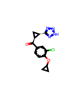 O=C(c1ccc(OC2CC2)c(Cl)c1)[C@H]1C[C@@H]1c1nn[nH]n1